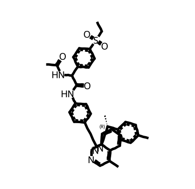 CCS(=O)(=O)c1ccc(C(NC(C)=O)C(=O)Nc2ccc(C3N=C4N=CC(C)=C5C=CC=CC45N3[C@H](C)c3ccc(C)cc3)cc2)cc1